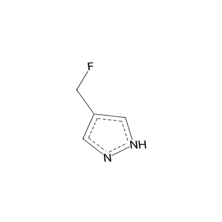 FCc1cn[nH]c1